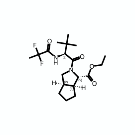 CCOC(=O)[C@@H]1[C@H]2CCC[C@H]2CN1C(=O)[C@@H](NC(=O)C(C)(F)F)C(C)(C)C